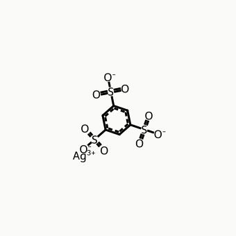 O=S(=O)([O-])c1cc(S(=O)(=O)[O-])cc(S(=O)(=O)[O-])c1.[Ag+3]